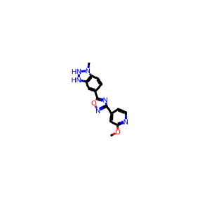 COc1cc(-c2noc(-c3ccc4c(c3)NNN4C)n2)ccn1